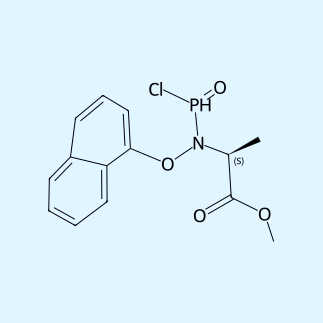 COC(=O)[C@H](C)N(Oc1cccc2ccccc12)[PH](=O)Cl